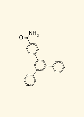 NC(=O)c1ccc(-c2cc(-c3ccccc3)cc(-c3ccccc3)c2)cc1